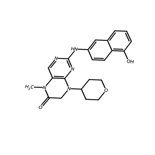 CN1C(=O)CN(C2CCOCC2)c2nc(Nc3ccc4c(O)cccc4c3)ncc21